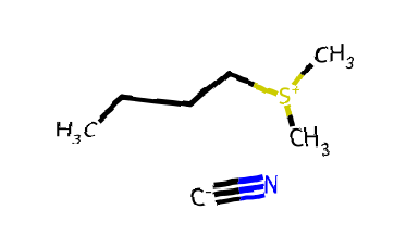 CCCC[S+](C)C.[C-]#N